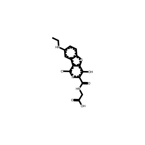 CCNc1ccc2sc3c(O)c(C(=O)NCC(=O)O)nc(Cl)c3c2c1